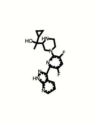 CC(O)(C1CC1)C1CN(c2nc(-c3n[nH]c4ncccc34)c(F)cc2F)CCN1